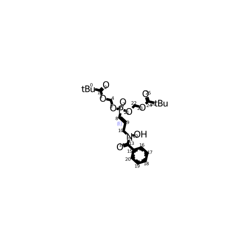 CC(C)(C)C(=O)OCOP(=O)(/C=C/CN(O)C(=O)c1ccccc1)OCOC(=O)C(C)(C)C